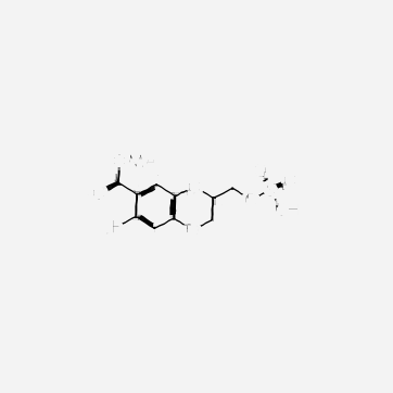 COC(=O)c1cc2c(cc1F)OCC(COS(C)(=O)=O)O2